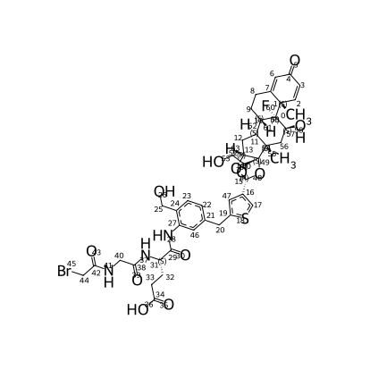 C[C@]12C=CC(=O)C=C1CC[C@H]1[C@@H]3C[C@H]4O[C@@H](c5csc(Cc6ccc(CO)c(NC(=O)[C@H](CCC(=O)O)NC(=O)CNC(=O)CBr)c6)c5)O[C@@]4(C(=O)CO)[C@@]3(C)C[C@H](O)[C@@]12F